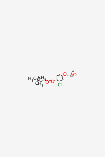 C[Si](C)(C)CCOCOc1ccc(OC[C@@H]2CO2)cc1Cl